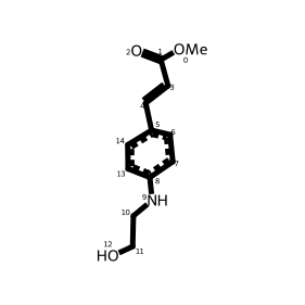 COC(=O)/C=C/c1ccc(NCCO)cc1